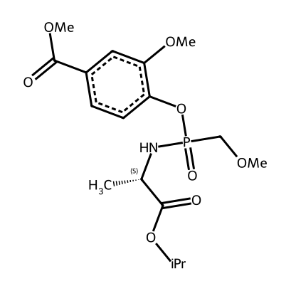 COCP(=O)(N[C@@H](C)C(=O)OC(C)C)Oc1ccc(C(=O)OC)cc1OC